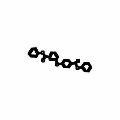 O=C(Oc1ccccc1)c1ccc(Oc2cccc(C(=O)Oc3ccccc3)c2)cc1